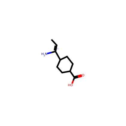 C/C=C(\N)C1CCC(C(=O)O)CC1